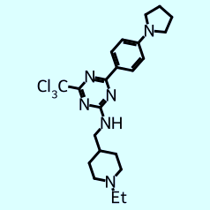 CCN1CCC(CNc2nc(-c3ccc(N4CCCC4)cc3)nc(C(Cl)(Cl)Cl)n2)CC1